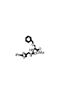 COC(=O)[C@H](COCc1ccccc1)NC(=O)N(C)Cc1csc(C(C)C)n1